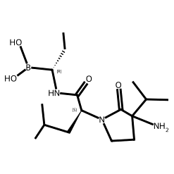 CC[C@H](NC(=O)[C@H](CC(C)C)N1CCC(N)(C(C)C)C1=O)B(O)O